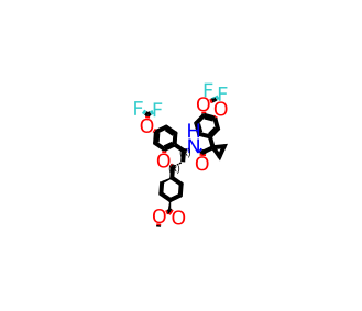 COC(=O)[C@H]1CC[C@@H]([C@H]2C[C@@H](NC(=O)C3(c4ccc5c(c4)OC(F)(F)O5)CC3)c3ccc(OC(F)F)cc3O2)CC1